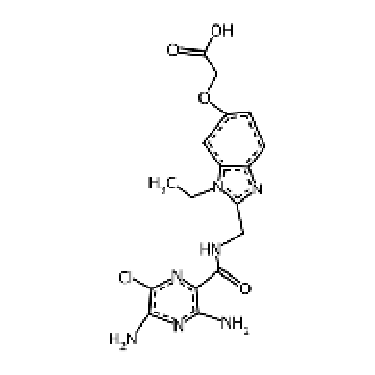 CCn1c(CNC(=O)c2nc(Cl)c(N)nc2N)nc2ccc(OCC(=O)O)cc21